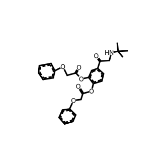 CC(C)(C)NCC(=O)c1ccc(OC(=O)COc2ccccc2)c(OC(=O)COc2ccccc2)c1